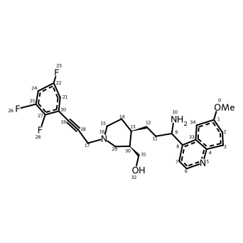 COc1ccc2nccc(C(N)CC[C@@H]3CCN(CC#Cc4cc(F)cc(F)c4F)C[C@@H]3CO)c2c1